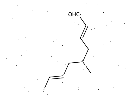 CC=CCC(C)CC=CC=O